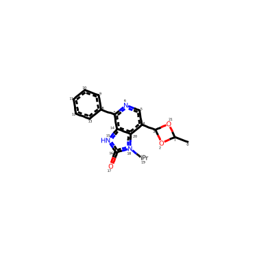 CC1OC(c2cnc(-c3ccccc3)c3[nH]c(=O)n(C(C)C)c23)O1